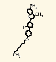 CCCCCCCCOc1ccc(-c2ccc(-c3cc(C)c4cc(P)ccc4n3)cc2F)cc1